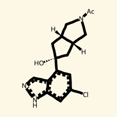 CC(=O)N1C[C@@H]2C[C@@](O)(c3cc(Cl)cc4[nH]ncc34)C[C@@H]2C1